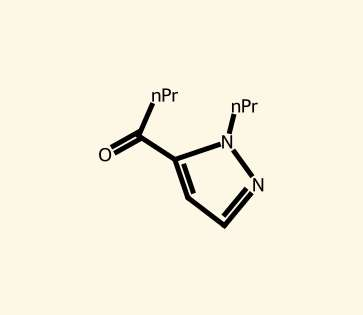 CCCC(=O)c1ccnn1CCC